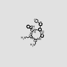 CN1C(=O)[C@H](CCCCN)NC(=O)[C@H](CCCN)NCc2cccnc2Sc2c(Cl)cc(-c3ccnc(N4CCOCC4)c3)cc2CNC(=O)[C@@H]1Cc1c[nH]c2ccccc12